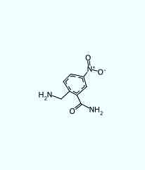 NCc1ccc([N+](=O)[O-])cc1C(N)=O